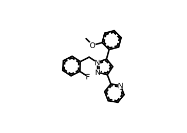 COc1ccccc1-c1cc(-c2ccccn2)nn1Cc1ccccc1F